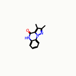 Cc1nn2c(c1C)c(=O)[nH]c1ccccc12